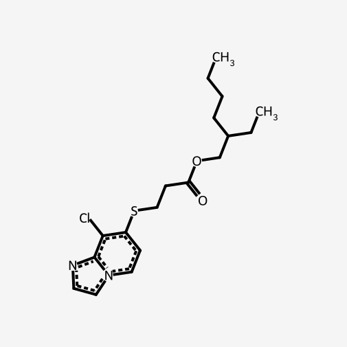 CCCCC(CC)COC(=O)CCSc1ccn2ccnc2c1Cl